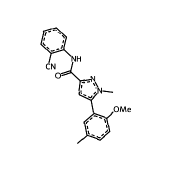 COc1ccc(C)cc1-c1cc(C(=O)Nc2ccccc2C#N)nn1C